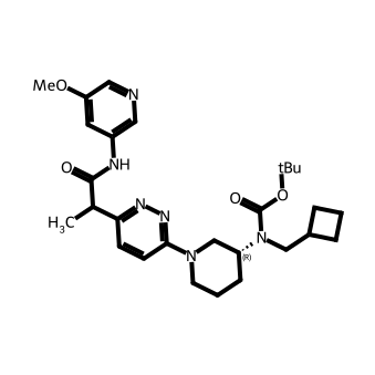 COc1cncc(NC(=O)C(C)c2ccc(N3CCC[C@@H](N(CC4CCC4)C(=O)OC(C)(C)C)C3)nn2)c1